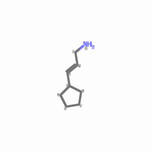 NC/C=C/C1CCCC1